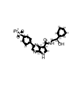 CC(C)S(=O)(=O)c1ccc(-c2cnc3[nH]cc(C(=O)NC[C@H](O)c4ccccc4)c3n2)cc1